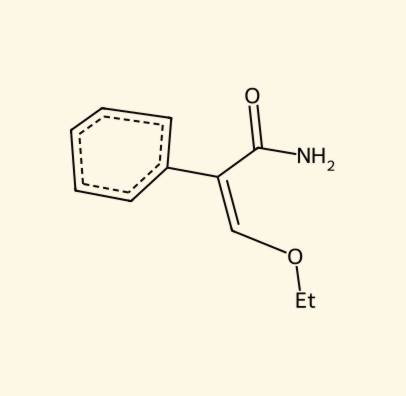 CCO/C=C(\C(N)=O)c1ccccc1